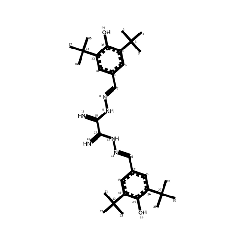 CC(C)(C)c1cc(/C=N/NC(=N)C(=N)N/N=C/c2cc(C(C)(C)C)c(O)c(C(C)(C)C)c2)cc(C(C)(C)C)c1O